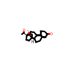 CC(=O)[C@@]12CCC3(C[C@H]1C)[C@@H]1CCC4=CC(=O)CCC4=C1CC[C@@]32C